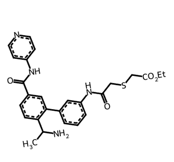 CCOC(=O)CSCC(=O)Nc1cccc(-c2cc(C(=O)Nc3ccncc3)ccc2C(C)N)c1